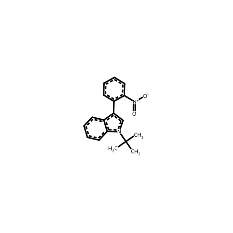 CC(C)(C)n1cc(-c2ccccc2[N+](=O)[O-])c2ccccc21